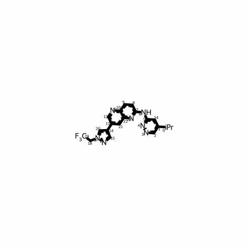 CC(C)c1cnnc(Nc2ccc3ncc(-c4cnn(CC(F)(F)F)c4)cc3n2)c1